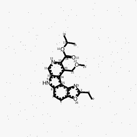 CCc1nc2c(ccc3[nH]c4cnc(C(=O)OC(C)C)c(COC)c4c32)o1